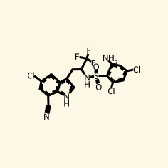 N#Cc1cc(Cl)cc2c(CC(NS(=O)(=O)c3c(N)cc(Cl)cc3Cl)C(F)(F)F)c[nH]c12